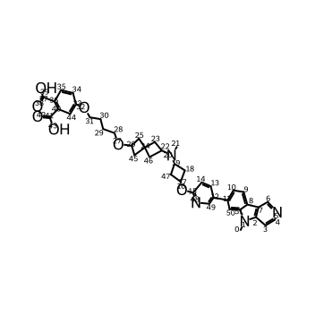 Cn1c2ccncc2c2ccc(-c3ccc(O[C@H]4C[C@H](N(C)C5CC6(CC(OCCCCOc7ccc(C(=O)O)c(C(=O)O)c7)C6)C5)C4)nc3)cc21